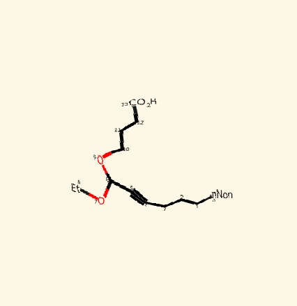 CCCCCCCCCCCCC#CC(OCC)OCCCC(=O)O